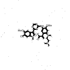 C=C(C(N)=O)c1cc(Nc2ncnc(-c3cn(C)c4cc(Cl)c(OC)cc34)n2)c(OC)cc1N(C)CCN(C)C